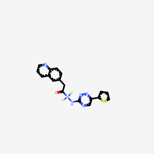 O=C(Cc1ccc2ncccc2c1)[N+](F)(F)Nc1ncc(-c2cccs2)nn1